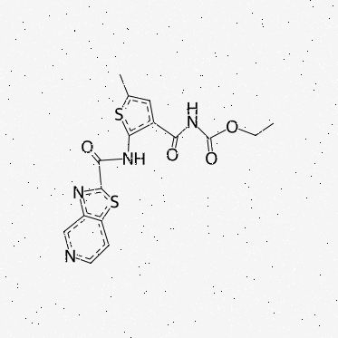 CCOC(=O)NC(=O)c1cc(C)sc1NC(=O)c1nc2cnccc2s1